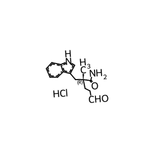 C[C@@](CCC=O)(Cc1c[nH]c2ccccc12)C(N)=O.Cl